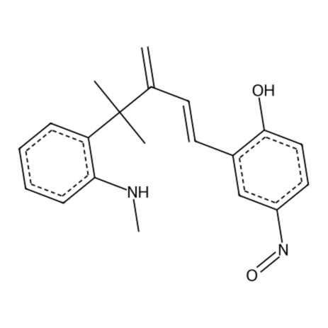 C=C(/C=C/c1cc(N=O)ccc1O)C(C)(C)c1ccccc1NC